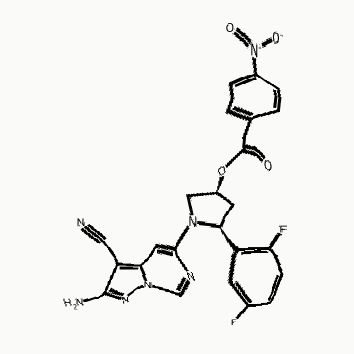 N#Cc1c(N)nn2cnc(N3C[C@@H](OC(=O)c4ccc([N+](=O)[O-])cc4)C[C@H]3c3cc(F)ccc3F)cc12